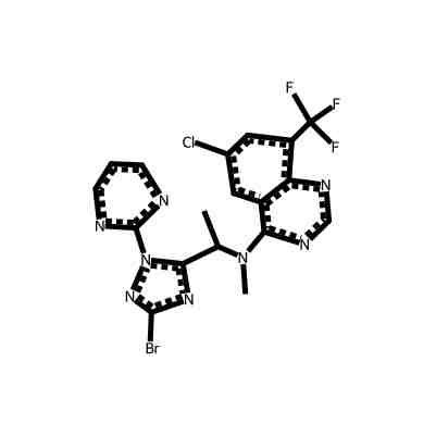 CC(c1nc(Br)nn1-c1ncccn1)N(C)c1ncnc2c(C(F)(F)F)cc(Cl)cc12